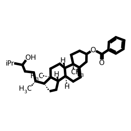 CC(C)C(O)CC[C@@H](C)[C@H]1CC[C@H]2[C@@H]3CC=C4CC(OC(=O)c5ccccc5)CC[C@]4(C)[C@H]3CC[C@]12C